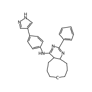 c1ccc(C2=NC3CCCCCCCC3C(Nc3ccc(-c4cn[nH]c4)cc3)=N2)cc1